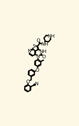 Cc1cc(Oc2cccc(COc3ccccc3C#N)c2)ccc1N1C(=O)Nc2c(C(=O)NC3CCNCC3)sc3nccc1c23